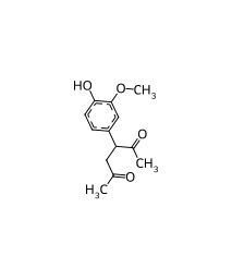 COc1cc(C(CC(C)=O)C(C)=O)ccc1O